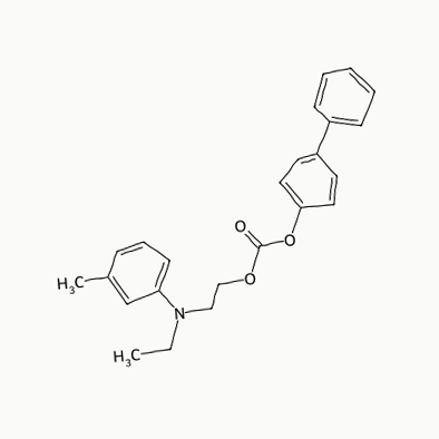 CCN(CCOC(=O)Oc1ccc(-c2ccccc2)cc1)c1cccc(C)c1